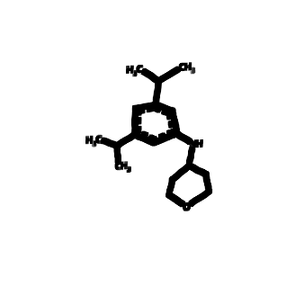 CC(C)c1cc(NC2CCOCC2)cc(C(C)C)c1